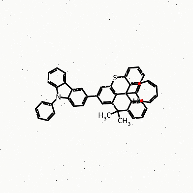 CC1(C)c2ccccc2C2(C3=CC=CC=CN3)c3ccccc3Sc3cc(-c4ccc5c(c4)c4ccccc4n5-c4ccccc4)cc1c32